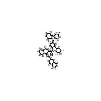 c1ccc2cc(-c3nc(-n4c5ccccc5c5cc(-n6c7ccccc7c7ccccc76)ccc54)c4ccc5ccccc5c4n3)ccc2c1